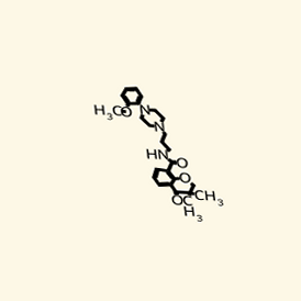 COc1ccccc1N1CCN(CCCNC(=O)c2cccc3c2OCC(C)(C)C3=O)CC1